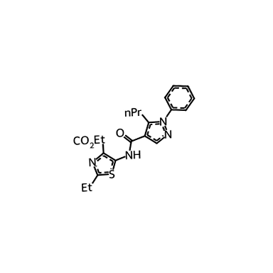 CCCc1c(C(=O)Nc2sc(CC)nc2C(=O)OCC)cnn1-c1ccccc1